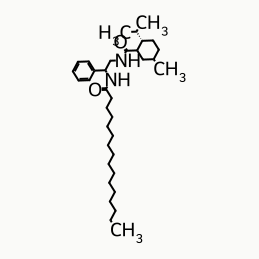 CCCCCCCCCCCCCCCC(=O)NC(CNC(=O)C1CC(C)CC[C@H]1C(C)C)c1ccccc1